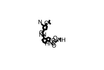 CNC(=O)CS(=O)(=O)N[C@H]1CCc2c(-c3noc(-c4ccc(OC(C)C)c(C#N)c4)n3)cccc21